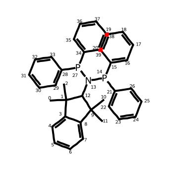 CC1(C)c2ccccc2C(C)(C)C1N(P(c1ccccc1)c1ccccc1)P(c1ccccc1)c1ccccc1